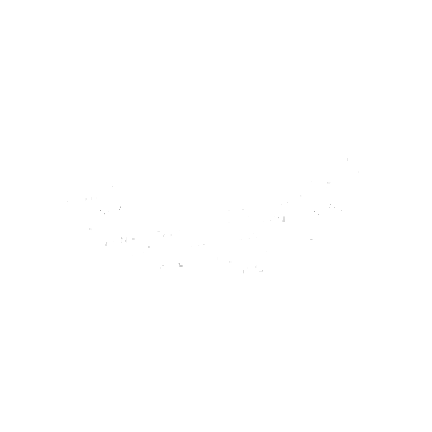 COc1c(CNC(=O)c2cc(C3CC3)nn2C)cccc1OCc1ccc(CN2CCN(C(C)=O)CC2)cc1